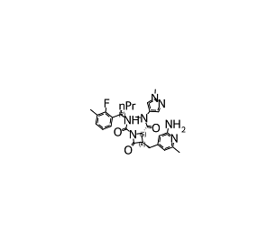 CCC[C@@H](NC(=O)N1C(=O)[C@H](Cc2cc(C)nc(N)c2)[C@H]1C(=O)N(C)c1cnn(C)c1)c1cccc(C)c1F